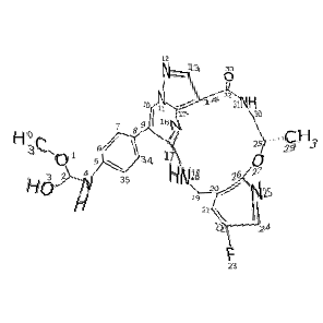 COC(O)Nc1ccc(-c2cn3ncc4c3nc2NCc2cc(F)cnc2O[C@@H](C)CNC4=O)cc1